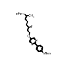 CCCCCCCCCc1ccc(-c2ncc(OCCC(F)CCCC(C)CCCCC)cn2)cc1